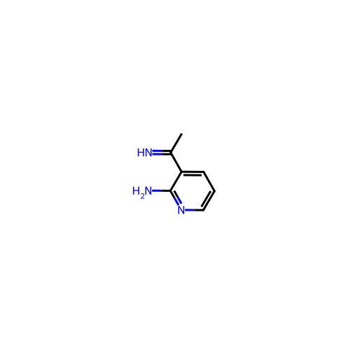 CC(=N)c1cccnc1N